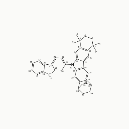 CC1(C)CCC(C)(C)c2cc3c(cc21)c1cc2c(cc1n3-c1ccc3c(c1)oc1ccccc13)C1CCC2CC1